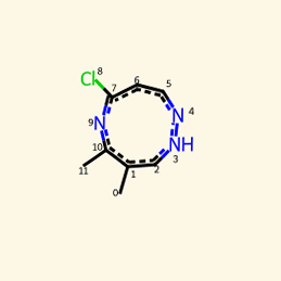 Cc1c[nH]nccc(Cl)nc1C